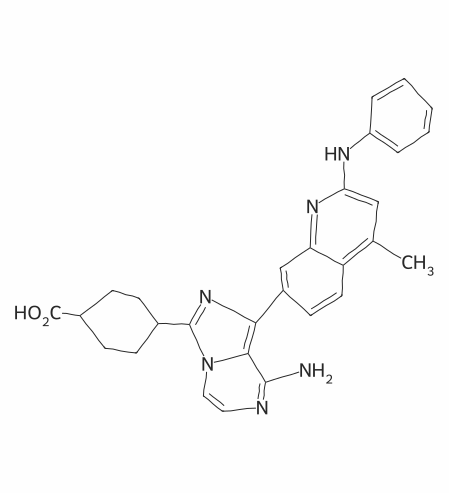 Cc1cc(Nc2ccccc2)nc2cc(-c3nc(C4CCC(C(=O)O)CC4)n4ccnc(N)c34)ccc12